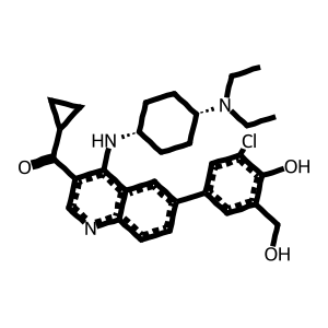 CCN(CC)[C@H]1CC[C@@H](Nc2c(C(=O)C3CC3)cnc3ccc(-c4cc(Cl)c(O)c(CO)c4)cc23)CC1